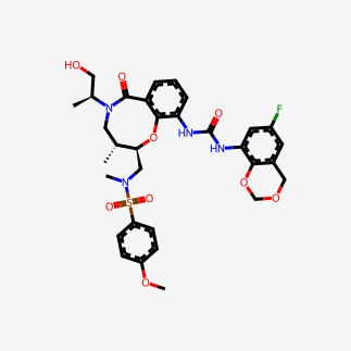 COc1ccc(S(=O)(=O)N(C)C[C@@H]2Oc3c(NC(=O)Nc4cc(F)cc5c4OCOC5)cccc3C(=O)N([C@@H](C)CO)C[C@H]2C)cc1